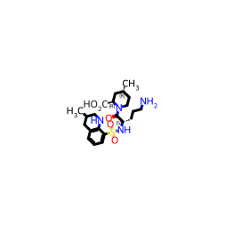 CC1CNc2c(cccc2S(=O)(=O)N[C@@H](CCCN)C(=O)N2CC[C@@H](C)C[C@@H]2C(=O)O)C1